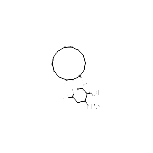 CNC1CC(C)O[C@@H](OC2CCCCCCCCCCCCC2)C1O